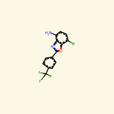 Nc1ccc(Br)c2oc(-c3ccc(C(F)(F)F)cc3)nc12